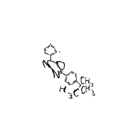 CC(C)(C)c1ccc(-c2nnc(-c3[c]cccc3)o2)cc1